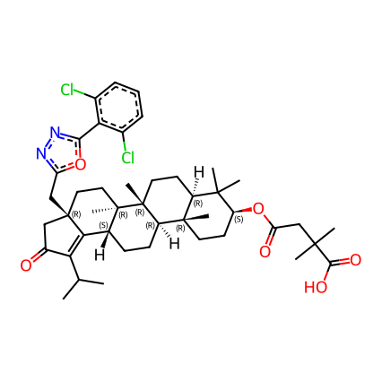 CC(C)C1=C2[C@H]3CC[C@@H]4[C@@]5(C)CC[C@H](OC(=O)CC(C)(C)C(=O)O)C(C)(C)[C@@H]5CC[C@@]4(C)[C@]3(C)CC[C@@]2(Cc2nnc(-c3c(Cl)cccc3Cl)o2)CC1=O